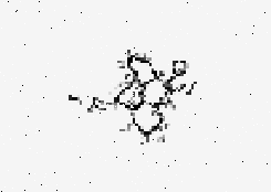 CC1C2=C3C(=NNC(=O)c4cccc1c43)CCC2